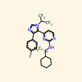 C[C@H](Nc1nccc(-c2c(-c3ccc(F)cc3)ncn2C(C(F)(F)F)C(F)(F)F)n1)C1CCCCC1